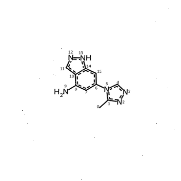 Cc1nncn1-c1cc(N)c2cn[nH]c2c1